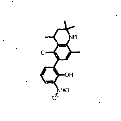 Cc1cc(-c2cccc([N+](=O)[O-])c2O)c(Cl)c2c1NC(C)(C)CC2C